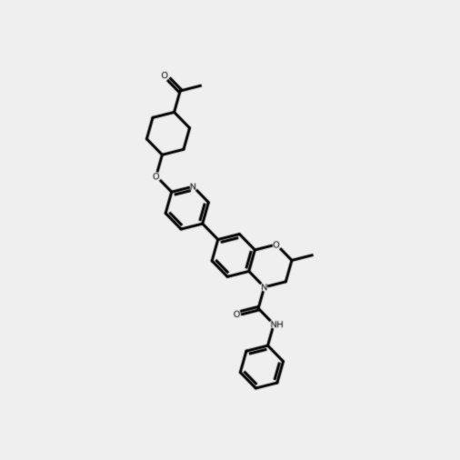 CC(=O)C1CCC(Oc2ccc(-c3ccc4c(c3)OC(C)CN4C(=O)Nc3ccccc3)cn2)CC1